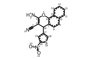 N#CC1=C(N)Oc2c(ccc3ccccc23)C1c1csc([N+](=O)[O-])c1